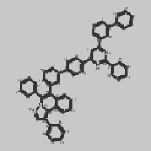 c1ccc(-c2cccc(-c3cc(-c4ccc(-c5cccc(-c6c(-c7ccccc7)n7ncc(-c8ccccc8)c7c7ccccc67)c5)cc4)nc(-c4ccccc4)n3)c2)cc1